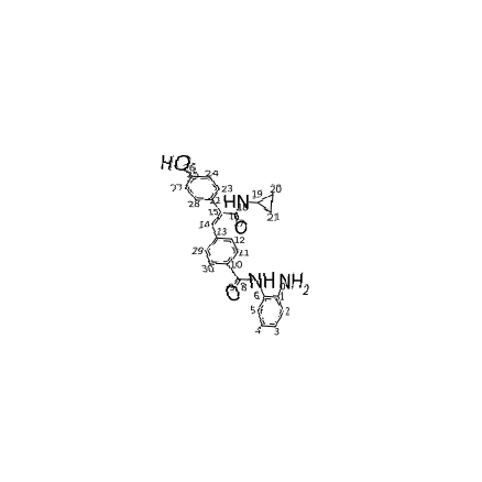 Nc1ccccc1NC(=O)c1ccc(C=C(C(=O)NC2CC2)c2ccc(O)cc2)cc1